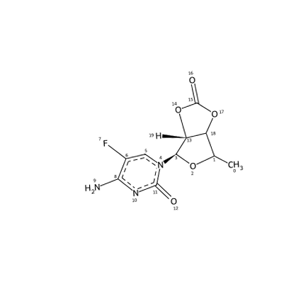 CC1O[C@@H](n2cc(F)c(N)nc2=O)[C@@H]2OC(=O)OC12